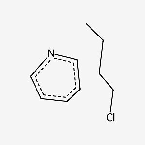 CCCCCl.c1ccncc1